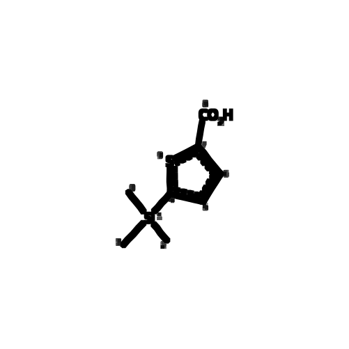 C[Si](C)(C)c1ccc(C(=O)O)s1